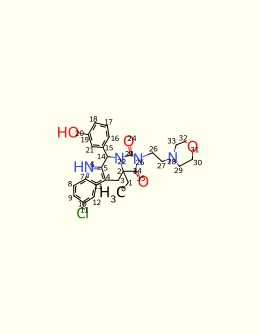 CCC12Cc3c([nH]c4ccc(Cl)cc34)C(c3cccc(O)c3)N1C(=O)N(CCN1CCOCC1)C2=O